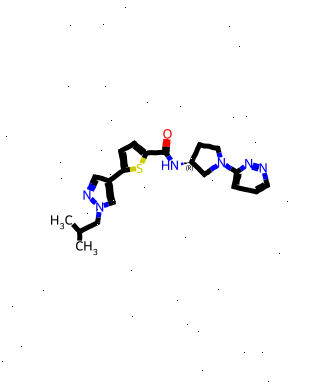 CC(C)Cn1cc(-c2ccc(C(=O)N[C@@H]3CCN(c4cccnn4)C3)s2)cn1